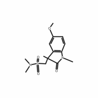 COc1ccc2c(c1)C(C)(CS(=O)(=O)N(C)C)C(=O)N2C